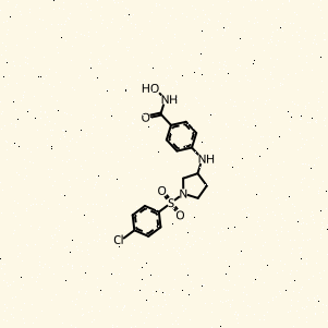 O=C(NO)c1ccc(NC2CCN(S(=O)(=O)c3ccc(Cl)cc3)C2)cc1